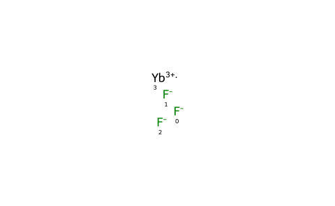 [F-].[F-].[F-].[Yb+3]